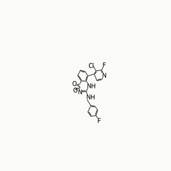 O=S1(=O)N=C(NCc2ccc(F)cc2)Nc2c(-c3ccnc(F)c3Cl)cccc21